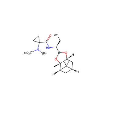 CC(C)C[C@H](NC(=O)C1(N(C(=O)O)C(C)(C)C)CC1)B1O[C@@H]2C[C@@H]3C[C@@H](C3(C)C)[C@]2(C)O1